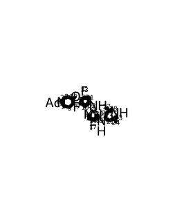 CC(=O)N1CCCC(Oc2c(F)cc(Nc3ncc(F)c(NC4CC(C)(C)NC(C)(C)C4)n3)cc2F)CC1